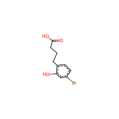 O=C(O)CCCc1ccc(Br)cc1O